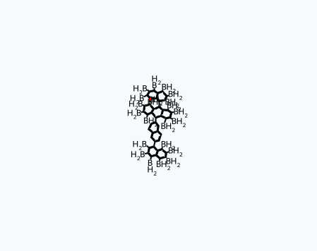 Bc1c(B)c(B)c2c(-c3ccc4cc(-c5c6c(B)c(B)c(B)c(B)c6c(-c6c(B)c(B)c(B)c7c(B)c(B)c(B)c(B)c67)c6c(B)c(B)c(B)c(B)c56)ccc4c3)c(B)c(B)c(B)c2c1B